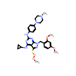 COOSc1nn(Cc2ccc(OC)cc2OC)c2nc(Nc3ccc(N4CCN(C)CC4)cc3)nc(NC3CC3)c12